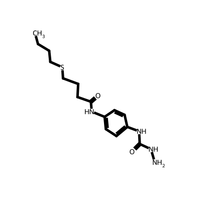 CCCCSCCCC(=O)Nc1ccc(NC(=O)NN)cc1